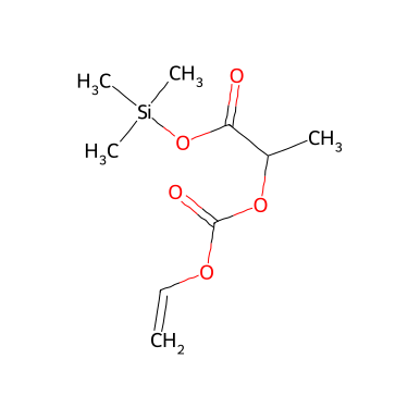 C=COC(=O)OC(C)C(=O)O[Si](C)(C)C